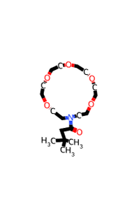 CC(C)(C)CC(=O)N1CCOCCOCCOCCOCCOCC1